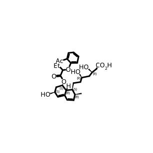 CCC(Oc1ccccc1C(C)=O)C(=O)O[C@H]1C[C@H](O)C=C2C=C[C@H](C)[C@H](CC[C@@H](O)C[C@@H](O)CC(=O)O)[C@H]21